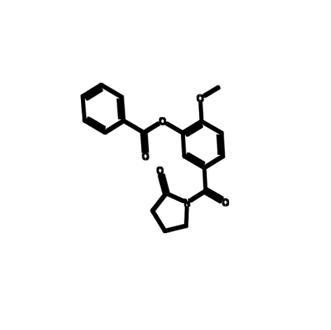 COc1ccc(C(=O)N2CCCC2=O)cc1OC(=O)c1ccccc1